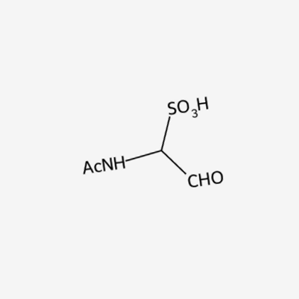 CC(=O)NC(C=O)S(=O)(=O)O